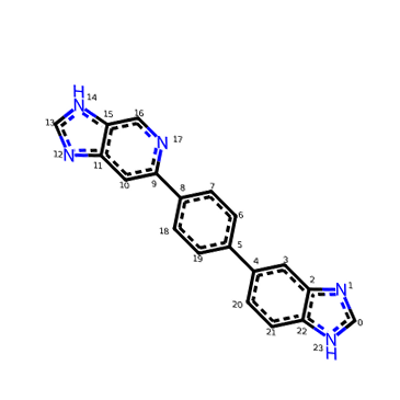 c1nc2cc(-c3ccc(-c4cc5nc[nH]c5cn4)cc3)ccc2[nH]1